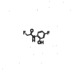 O=C(CF)Nc1ccc(F)cc1O